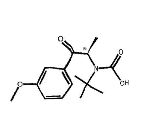 COc1cccc(C(=O)[C@@H](C)N(C(=O)O)C(C)(C)C)c1